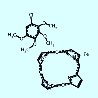 C1=Cc2cc3ccc(cc4nc(cc5ccc(cc1n2)[nH]5)C=C4)[nH]3.COc1cc(Cl)c(OC)c(OC)c1OC.[Fe]